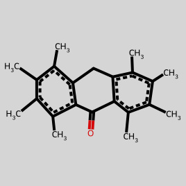 Cc1c(C)c(C)c2c(c1C)Cc1c(C)c(C)c(C)c(C)c1C2=O